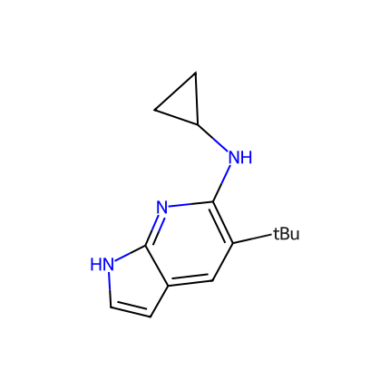 CC(C)(C)c1cc2cc[nH]c2nc1NC1CC1